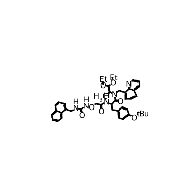 CCOC(OCC)C(C)N(Cc1cccc2cccnc12)C(=O)C(Cc1ccc(OC(C)(C)C)cc1)NC(=O)CONC(=O)NCc1cccc2ccccc12